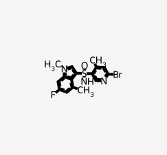 Cc1cc(Br)ncc1S(=N)(=O)c1cn(C)c2cc(F)cc(C)c12